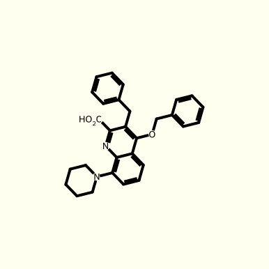 O=C(O)c1nc2c(N3CCCCC3)cccc2c(OCc2ccccc2)c1Cc1ccccc1